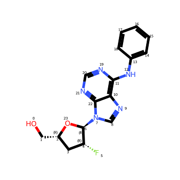 OC[C@H]1[CH][C@@H](F)[C@H](n2cnc3c(Nc4ccccc4)ncnc32)O1